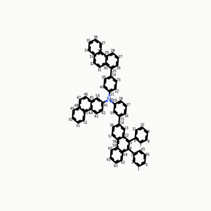 c1ccc(-c2c(-c3ccccc3)c3cc(-c4cccc(N(c5ccc(-c6cccc7c6ccc6ccccc67)cc5)c5ccc6c(ccc7ccccc76)c5)c4)ccc3c3ccccc23)cc1